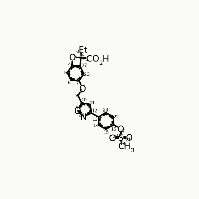 CC[C@]1(C(=O)O)Oc2ccc(OCc3cc(-c4ccc(OS(C)(=O)=O)cc4)no3)cc21